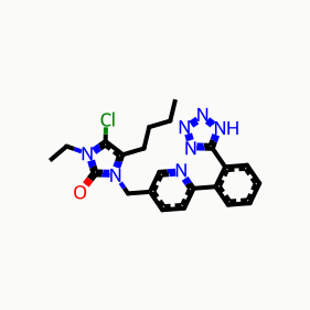 CCCCc1c(Cl)n(CC)c(=O)n1Cc1ccc(-c2ccccc2-c2nnn[nH]2)nc1